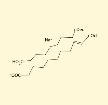 CCCCCCCCC=CCCCCCCCC(=O)[O-].CCCCCCCCCCCCCCCCCC(=O)O.[Na+]